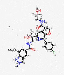 COc1cc(C(=O)NC[C@](O)(c2cc3c(c(-c4ccc(F)cc4)n2)OC[C@]3(C)C(=O)NCC(C)(C)O)C(F)(F)F)cc2cn(C)nc12